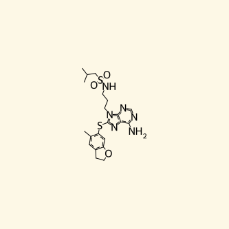 Cc1cc2c(cc1Sc1nc3c(N)ncnc3n1CCCNS(=O)(=O)CC(C)C)OCC2